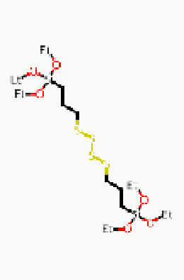 CCO[Si](CCCSSSSCCC[Si](OCC)(OCC)OCC)(OCC)OCC